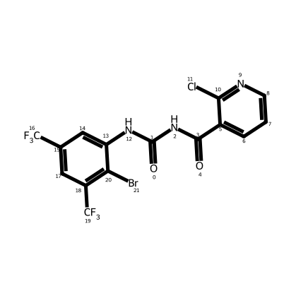 O=C(NC(=O)c1cccnc1Cl)Nc1cc(C(F)(F)F)cc(C(F)(F)F)c1Br